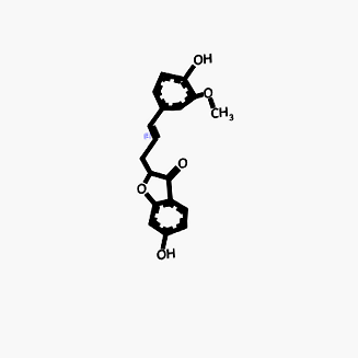 COc1cc(/C=C/CC2Oc3cc(O)ccc3C2=O)ccc1O